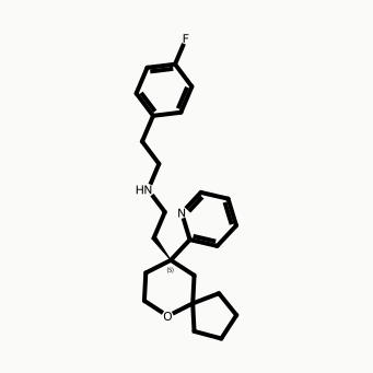 Fc1ccc(CCNCC[C@]2(c3ccccn3)CCOC3(CCCC3)C2)cc1